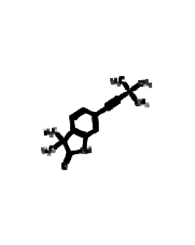 CC1(C)C(=O)Nc2cc(C#C[Si](C)(C)C)ccc21